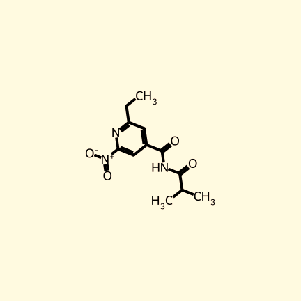 CCc1cc(C(=O)NC(=O)C(C)C)cc([N+](=O)[O-])n1